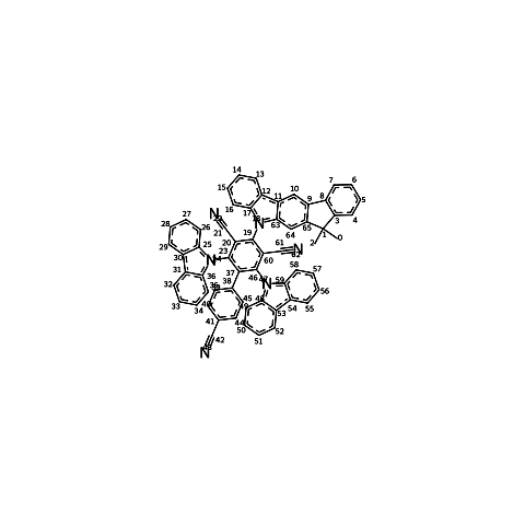 CC1(C)c2ccccc2-c2cc3c4ccccc4n(-c4c(C#N)c(-n5c6ccccc6c6ccccc65)c(-c5ccc(C#N)cc5)c(-n5c6ccccc6c6ccccc65)c4C#N)c3cc21